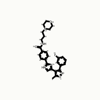 Cc1onc(-c2cccc(F)c2)c1-c1c[nH]c(-c2ccc(C(=O)NCCCN3CCOCC3)cc2)n1